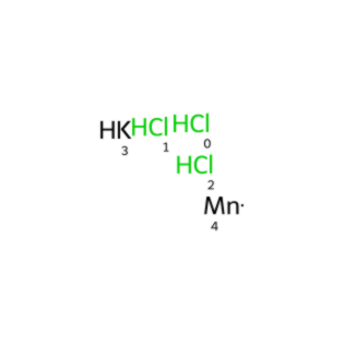 Cl.Cl.Cl.[KH].[Mn]